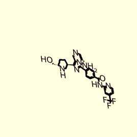 N[N+]12C=CN=CC1=C([C@@H]1CC[C@@H](CO)NC1)N=C2c1ccc(C(=O)Nc2cc(C(F)(F)F)ccn2)cc1